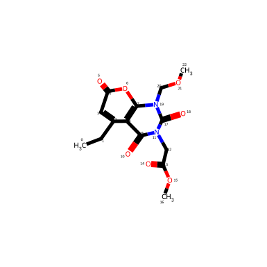 CCc1cc(=O)oc2c1c(=O)n(CC(=O)OC)c(=O)n2COC